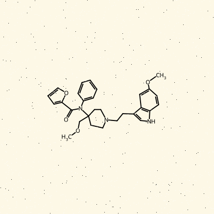 COCC1(N(C(=O)c2ccco2)c2ccccc2)CCN(CCc2c[nH]c3ccc(OC)cc23)CC1